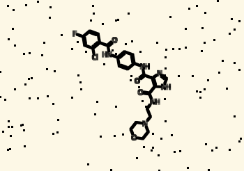 O=C(Nc1ccc(NC(=O)c2nc[nH]c2C(=O)NCCN2CCOCC2)cc1)c1ccc(F)cc1Cl